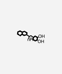 CCCC(Cc1ccc(O)c(O)c1)c1ccc2ccccc2c1